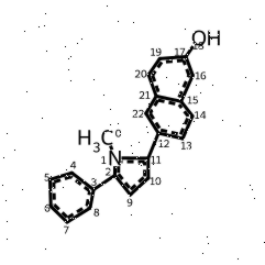 Cn1c(-c2ccccc2)ccc1-c1ccc2cc(O)ccc2c1